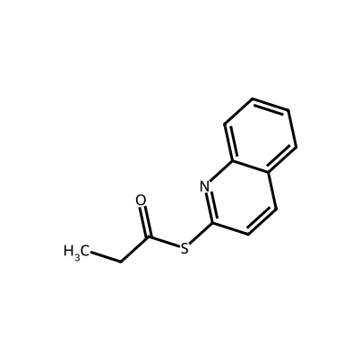 CCC(=O)Sc1ccc2ccccc2n1